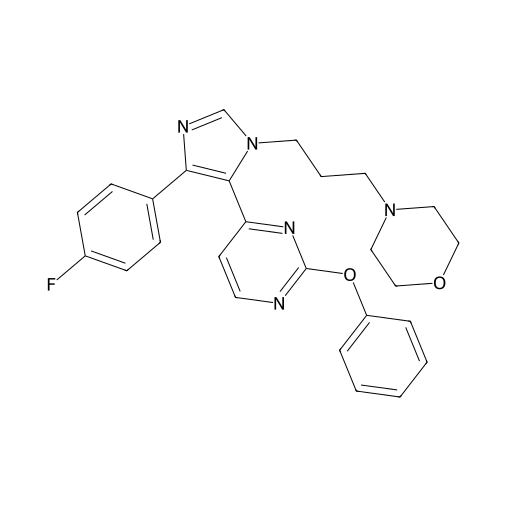 Fc1ccc(-c2ncn(CCCN3CCOCC3)c2-c2ccnc(Oc3ccccc3)n2)cc1